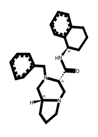 O=C(N[C@@H]1CCCc2ccccc21)[C@@H]1CN2CCC[C@@H]2CN1Cc1ccccc1